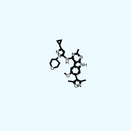 COc1cc2c(cc1-c1c(C)noc1C)[nH]c1nc(C)nc(Nc3cc(C4CC4)nn3C3CCOCC3)c12